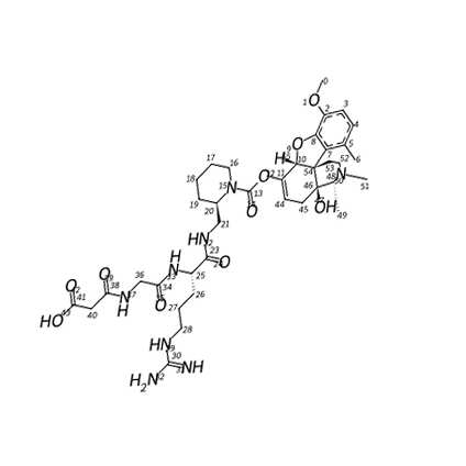 COc1ccc(C)c2c1O[C@H]1C(OC(=O)N3CCCC[C@@H]3CNC(=O)[C@H](CCCNC(=N)N)NC(=O)CNC(=O)CC(=O)O)=CC[C@@]3(O)[C@@H](C)N(C)CC[C@]213